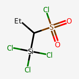 CCC([Si](Cl)(Cl)Cl)S(=O)(=O)Cl